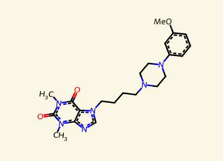 COc1cccc(N2CCN(CCCCn3cnc4c3c(=O)n(C)c(=O)n4C)CC2)c1